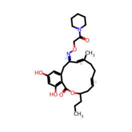 CCCC1C/C=C/CC/C(C)=C/C(=N\OCC(=O)N2CCCCC2)Cc2cc(O)cc(O)c2C(=O)O1